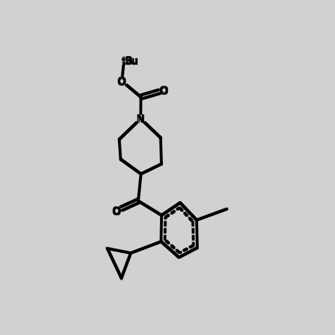 Cc1ccc(C2CC2)c(C(=O)C2CCN(C(=O)OC(C)(C)C)CC2)c1